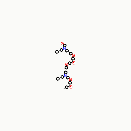 COc1cccc(N(c2ccc(-c3ccccc3)cc2)c2ccc(-c3ccc(Oc4ccc(C(=O)c5ccc(Oc6ccc(-c7ccc(N(c8ccc(Oc9ccc(C(=O)c%10ccc(C)cc%10)cc9)cc8)c8ccc(-c9ccccc9)cc8)cc7)cc6)cc5)cc4)cc3)cc2)c1